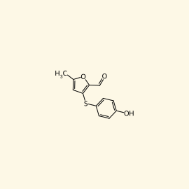 Cc1cc(Sc2ccc(O)cc2)c(C=O)o1